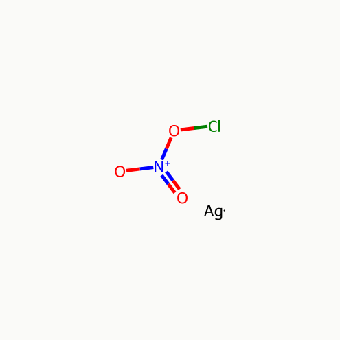 O=[N+]([O-])OCl.[Ag]